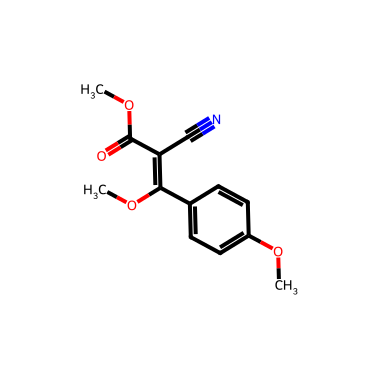 COC(=O)/C(C#N)=C(\OC)c1ccc(OC)cc1